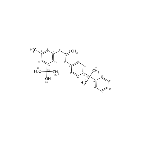 Cc1cc(CN(C)Cc2ccc(C(C)(C)c3ccccc3)cc2)cc(C(C)(C)O)c1